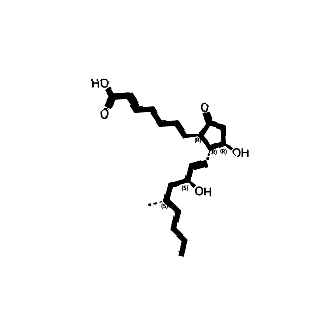 CCCC[C@H](C)C[C@H](O)C=C[C@H]1[C@H](O)CC(=O)[C@@H]1CCCCC=CC(=O)O